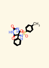 Cc1ccc(S(=O)(=O)NC2(c3ccccc3)C(=O)NC(=O)NC2=O)cc1